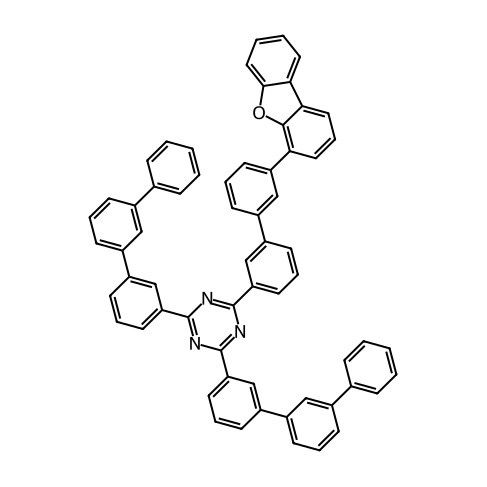 c1ccc(-c2cccc(-c3cccc(-c4nc(-c5cccc(-c6cccc(-c7ccccc7)c6)c5)nc(-c5cccc(-c6cccc(-c7cccc8c7oc7ccccc78)c6)c5)n4)c3)c2)cc1